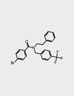 O=C(c1ccc(Br)cc1)N(CCc1ccccc1)Cc1ccc(C(F)(F)F)cc1